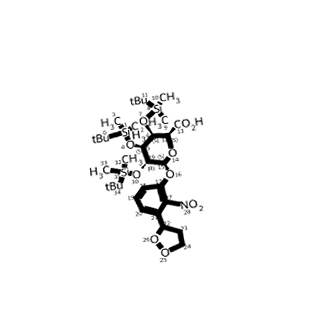 CC(C)(C)[Si](C)(C)O[C@H]1[C@@H](O[Si](C)(C)C(C)(C)C)[C@@H](C(=O)O)O[C@@H](Oc2cccc(C3CCOO3)c2[N+](=O)[O-])[C@@H]1O[Si](C)(C)C(C)(C)C